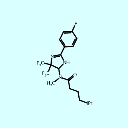 CC(C)CCCC(=O)N(C)C1NC(c2ccc(F)cc2)=NC1(C(F)(F)F)C(F)(F)F